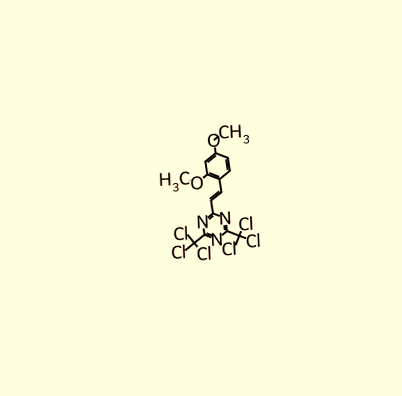 COc1ccc(/C=C/c2nc(C(Cl)(Cl)Cl)nc(C(Cl)(Cl)Cl)n2)c(OC)c1